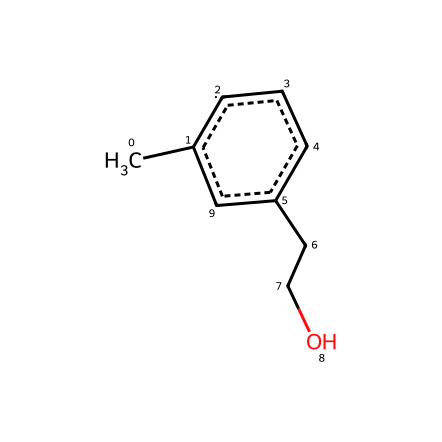 Cc1[c]ccc(CCO)c1